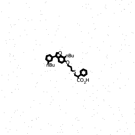 CCCCc1cccc(-c2coc3c(CCCC)c(OCCCSCC(C(=O)O)c4ccccc4)ccc23)c1